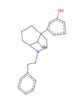 CCCC1C2CCCC1(c1cccc(O)c1)CCN2CCc1ccccc1